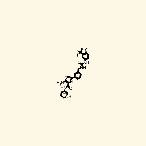 Nc1ncc(-c2cccc(CNC(=O)Nc3ccc(Cl)c(C(F)(F)F)c3)c2)nc1C(=O)N[C@H]1CCCNC1